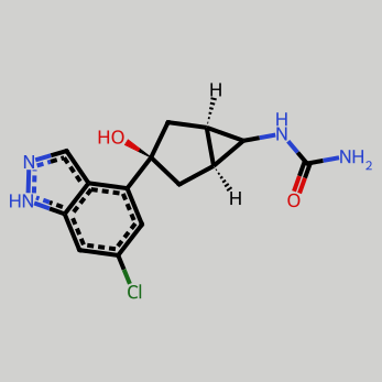 NC(=O)NC1[C@H]2C[C@](O)(c3cc(Cl)cc4[nH]ncc34)C[C@@H]12